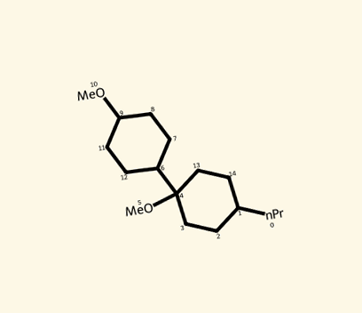 CCCC1CCC(OC)(C2CCC(OC)CC2)CC1